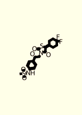 CS(=O)(=O)Nc1ccc(C(=O)CN2C(=O)SC(=C3CCC(F)(F)CC3)C2=O)cc1